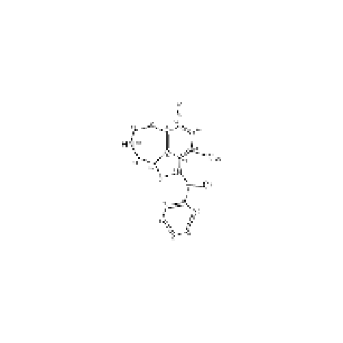 O=C(c1ccccc1)N1CC2CNCCc3c(Cl)cc(Cl)c1c32